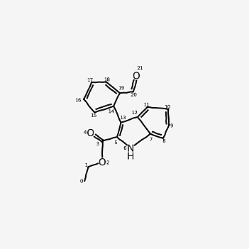 CCOC(=O)c1[nH]c2ccccc2c1-c1ccccc1C=O